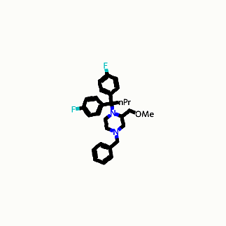 CCCC(c1ccc(F)cc1)(c1ccc(F)cc1)N1CCN(Cc2ccccc2)CC1COC